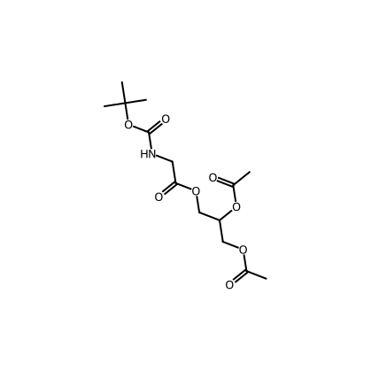 CC(=O)OCC(COC(=O)CNC(=O)OC(C)(C)C)OC(C)=O